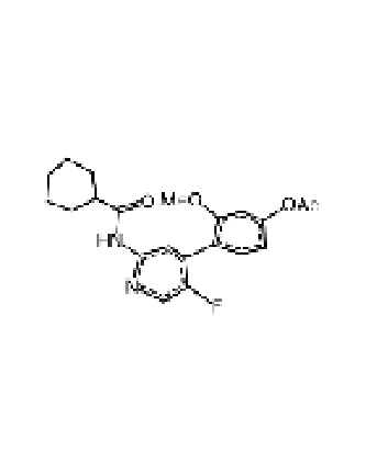 COc1cc(OC(C)=O)ccc1-c1cc(NC(=O)C2CCCCC2)ncc1F